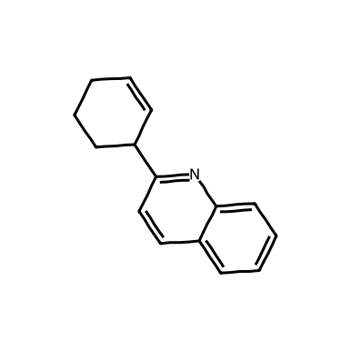 C1=CC(c2ccc3ccccc3n2)CCC1